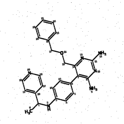 CC(Nc1ccc(-c2c(N)nc(N)nc2COCc2ccccc2)cc1)c1ccncc1